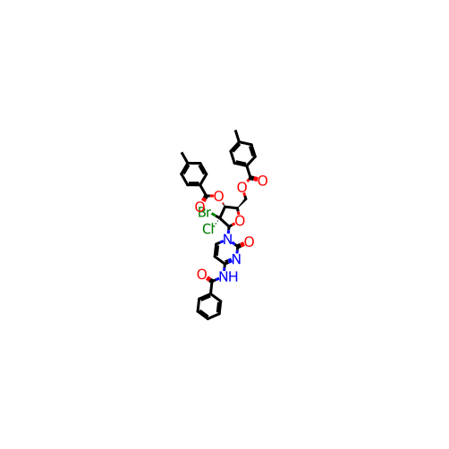 Cc1ccc(C(=O)OC[C@H]2OC(n3ccc(NC(=O)c4ccccc4)nc3=O)[C@@](Cl)(Br)[C@@H]2OC(=O)c2ccc(C)cc2)cc1